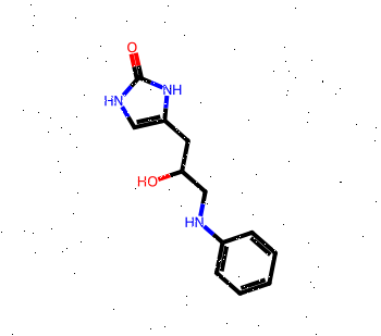 O=c1[nH]cc(CC(O)CNc2ccccc2)[nH]1